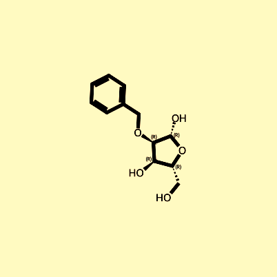 OC[C@H]1O[C@@H](O)[C@H](OCc2ccccc2)[C@@H]1O